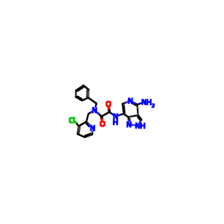 Nc1ncc(NC(=O)C(=O)N(Cc2ccccc2)Cc2ncccc2Cl)c2n[nH]cc12